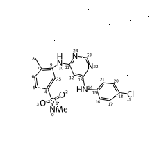 CNS(=O)(=O)c1ccc(C)c(Nc2cc(Nc3ccc(Cl)cc3)ncn2)c1